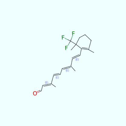 CC1=C(/C=C/C(C)=C/C=C/C(C)=C/C=O)C(C)(C(F)(F)F)CCC1